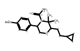 COc1ccc(C2COC(CCC3CC3)C(C)(C)N2C(N)=O)cc1